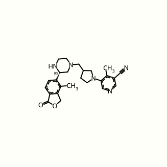 Cc1c(C#N)cncc1N1CCC(CN2CCN[C@H](c3ccc4c(c3C)COC4=O)C2)C1